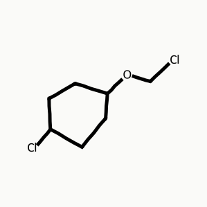 ClCOC1CCC(Cl)CC1